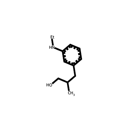 CCNc1cccc(CC(C)CO)c1